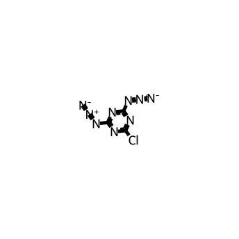 [N-]=[N+]=Nc1nc(Cl)nc(N=[N+]=[N-])n1